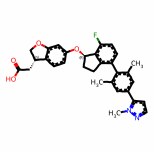 Cc1cc(-c2ccnn2C)cc(C)c1-c1ccc(F)c2c1CC[C@H]2Oc1ccc2c(c1)OC[C@H]2CC(=O)O